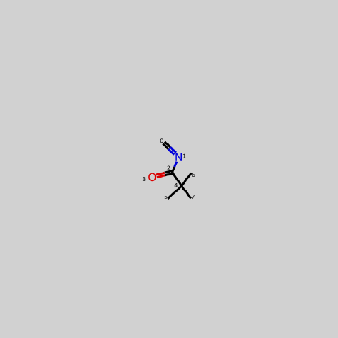 C=NC(=O)C(C)(C)C